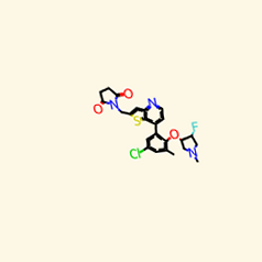 Cc1cc(Cl)cc(-c2ccnc3cc(CN4C(=O)CCC4=O)sc23)c1O[C@@H]1CN(C)C[C@@H]1F